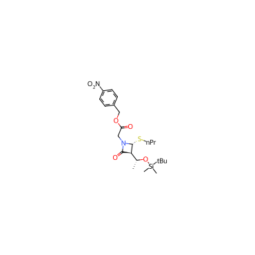 CCCS[C@@H]1[C@@H]([C@@H](C)O[Si](C)(C)C(C)(C)C)C(=O)N1CC(=O)OCc1ccc([N+](=O)[O-])cc1